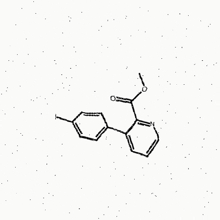 COC(=O)c1ncccc1-c1ccc(I)cc1